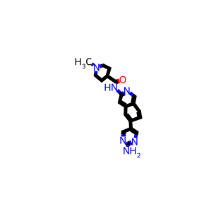 CN1CCC(C(=O)Nc2cc3cc(-c4cnc(N)nc4)ccc3cn2)CC1